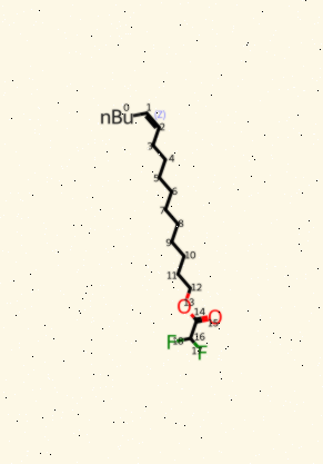 CCCC/C=C\CCCCCCCCCCOC(=O)C(F)F